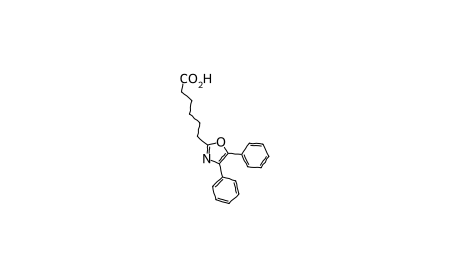 O=C(O)CCCCCc1nc(-c2ccccc2)c(-c2ccccc2)o1